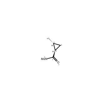 CNC(=O)[C@@H]1C[C@H]1C